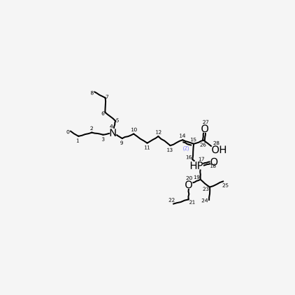 CCCCN(CCCC)CCCCC/C=C(\C[PH](=O)C(OCC)C(C)C)C(=O)O